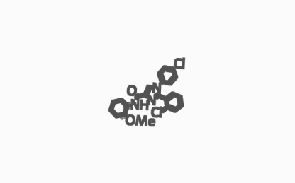 CO[C@H]1CCCC[C@H]1NC(=O)c1cn(-c2ccc(Cl)cc2)c(-c2ccccc2Cl)n1